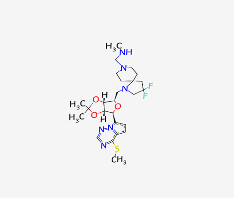 CNCN1CCC2(CC1)CC(F)(F)CN2C[C@H]1O[C@@H](c2ccc3c(SC)ncnn23)[C@@H]2OC(C)(C)O[C@@H]21